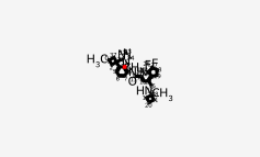 CC1CC(c2cccc(NC(=O)c3cc(CNC4(C)CCC4)c4c(n3)C(F)(F)CC4)c2)(c2nncn2C)C1